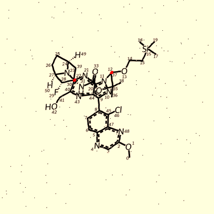 COc1cnc2ccc(-c3nn(COCC[Si](C)(C)C)c4nc(N5[C@H]6CC[C@@H]5[C@@H](F)[C@@H](NC(=O)OC(C)(C)C)C6)c(CO)nc34)c(Cl)c2n1